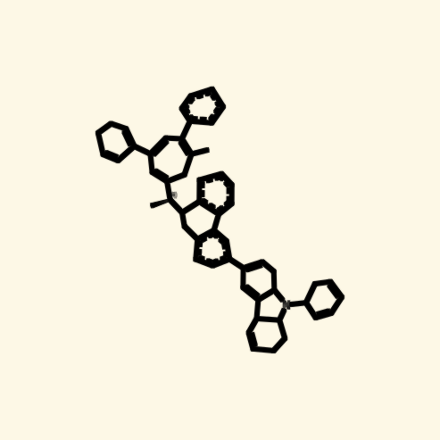 CC1=C(c2ccccc2)C=C(C2=CCCC=C2)C=C([C@H](C)C2Cc3ccc(C4=CCC5C(=C4)C4C=CCCC4N5C4C=CC=CC4)cc3-c3ccccc32)C1